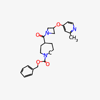 Cc1cc(OC2CN(C(=O)C3CCCN(C(=O)OCc4ccccc4)CC3)C2)ccn1